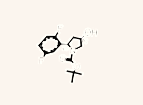 CC(C)(C)OC(=O)N1C[C@H](O)C[C@@H]1c1cc(F)ccc1F